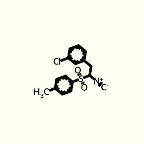 [C-]#[N+]C(Cc1cccc(Cl)c1)S(=O)(=O)c1ccc(C)cc1